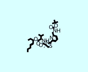 CCC/C=C/C(CC)OC(=O)[C@@H](NC(=O)[C@]1(C)CSC(c2cccc(CNC(=O)OC(C)(C)C)n2)=N1)C(C)C